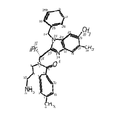 Cc1ccc(C(=O)N(CCCN)[C@@H](c2nc3cc(C)c(C)cc3n2Cc2ccccc2)C(C)C)cc1